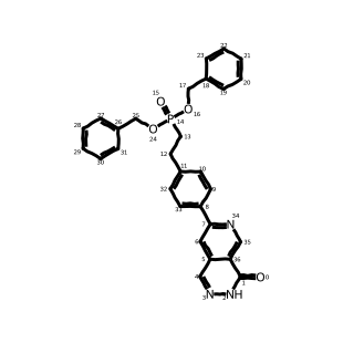 O=c1[nH]ncc2cc(-c3ccc(CCP(=O)(OCc4ccccc4)OCc4ccccc4)cc3)ncc12